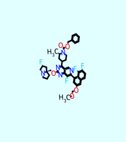 COCOc1cc(-c2ncc3c(C4CCN(C(=O)OCc5ccccc5)[C@H](C)C4)nc(OC[C@@]45CCCN4C[C@H](F)C5)nc3c2F)c2c(F)c(F)ccc2c1